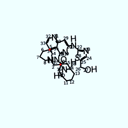 O=C(CN1CCCCC1)N1[C@@H]2CCC[C@H]1C[C@H](Nc1nc(Nc3ncc(CO)s3)cc3ncccc13)C2